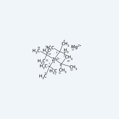 C[C](C)(C)[Zn-2]([C](C)(C)C)([C](C)(C)C)[C](C)(C)C.[Mg+2]